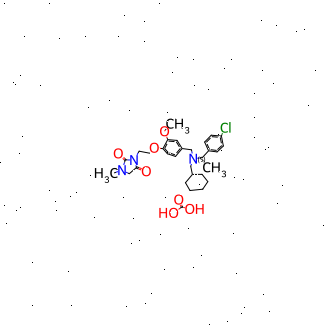 COc1cc(CN(CC2CCCCC2)[C@@H](C)c2ccc(Cl)cc2)ccc1OCCN1C(=O)CN(C)C1=O.O=C(O)O